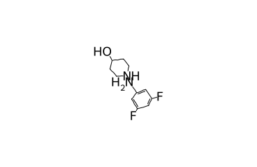 Nc1cc(F)cc(F)c1.OC1CCNCC1